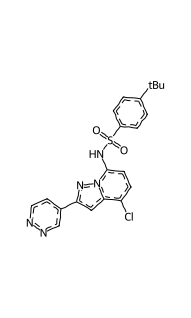 CC(C)(C)c1ccc(S(=O)(=O)Nc2ccc(Cl)c3cc(-c4ccnnc4)nn23)cc1